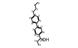 CCCCc1ccc(-c2ccc(C(O)CC)cc2)cc1